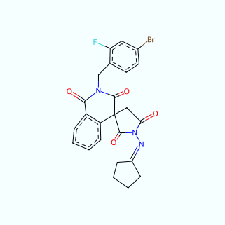 O=C1c2ccccc2C2(CC(=O)N(N=C3CCCC3)C2=O)C(=O)N1Cc1ccc(Br)cc1F